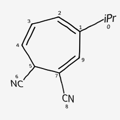 CC(C)C1=CC=CC(C#N)C(C#N)=C1